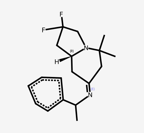 CC(/N=C1\C[C@@H]2CC(F)(F)CN2C(C)(C)C1)c1ccccc1